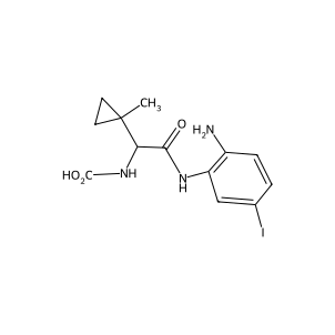 CC1(C(NC(=O)O)C(=O)Nc2cc(I)ccc2N)CC1